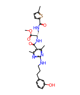 COC(=O)[C@H](CNC(=O)c1ccc(C)s1)NC(=O)c1c(C)nc(NCCCc2cccc(O)c2)nc1C